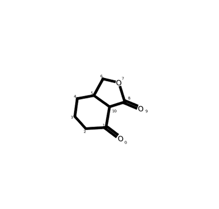 O=C1CCCC2COC(=O)C12